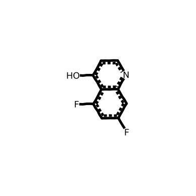 Oc1ccnc2cc(F)cc(F)c12